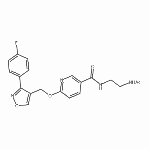 CC(=O)NCCNC(=O)c1ccc(OCc2conc2-c2ccc(F)cc2)nc1